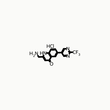 Cl.NCc1cc(=O)c2cc(-c3cnc(C(F)(F)F)nc3)ccc2[nH]1